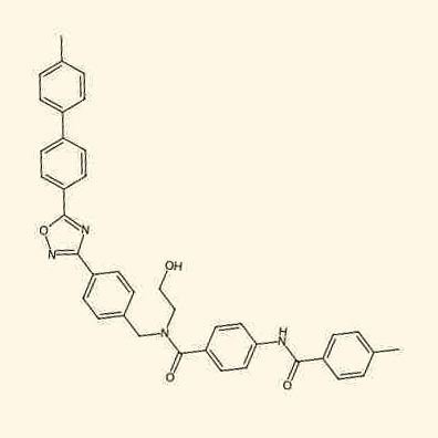 Cc1ccc(C(=O)Nc2ccc(C(=O)N(CCO)Cc3ccc(-c4noc(-c5ccc(-c6ccc(C)cc6)cc5)n4)cc3)cc2)cc1